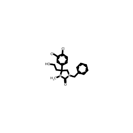 CN1C(=O)N(Cc2ccccc2)CC1(CCO)c1ccc(Cl)c(Cl)c1